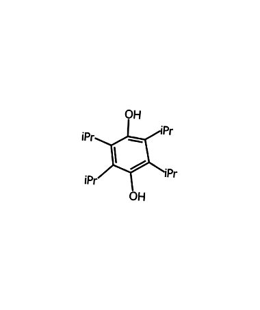 CC(C)c1c(O)c(C(C)C)c(C(C)C)c(O)c1C(C)C